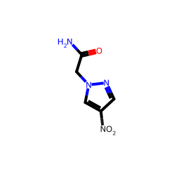 NC(=O)Cn1cc([N+](=O)[O-])cn1